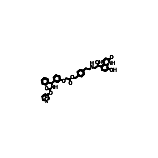 O=C(COc1cccc(C(NC(=O)OC2CN3CCC2CC3)c2ccccc2)c1)OCc1ccc(CCNCC(O)c2ccc(O)c3[nH]c(=O)ccc23)cc1